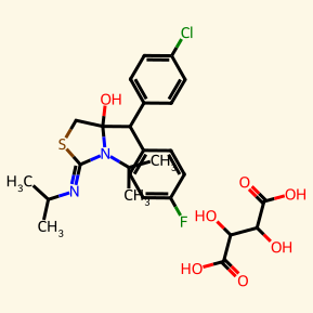 CC(C)N=C1SCC(O)(C(c2ccc(F)cc2)c2ccc(Cl)cc2)N1C(C)C.O=C(O)C(O)C(O)C(=O)O